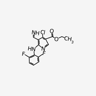 CCOC(=O)c1cnc(Nc2c(F)cccc2F)c(C=N)c1Cl